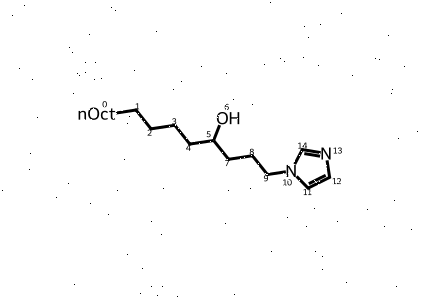 CCCCCCCCCCCCC(O)CCCn1ccnc1